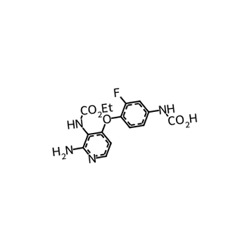 CCOC(=O)Nc1c(Oc2ccc(NC(=O)O)cc2F)ccnc1N